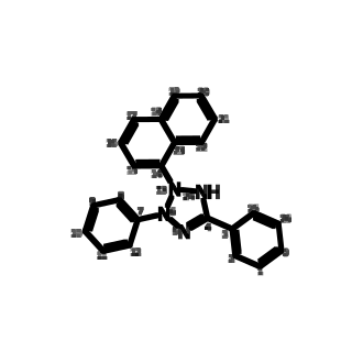 c1ccc(C2=NN(c3ccccc3)N(c3cccc4ccccc34)N2)cc1